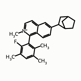 Cc1cc(C)c(F)c(-c2c3ccc(C4CC5CCC4C5)cc3cc[n+]2C)c1C